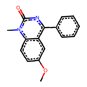 COc1ccc2c(c1)c(-c1ccccc1)nc(=O)n2C